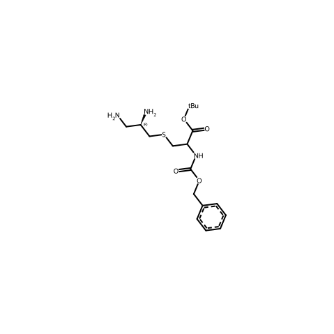 CC(C)(C)OC(=O)C(CSC[C@H](N)CN)NC(=O)OCc1ccccc1